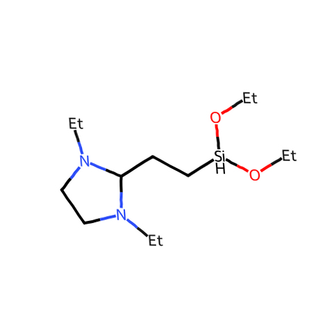 CCO[SiH](CCC1N(CC)CCN1CC)OCC